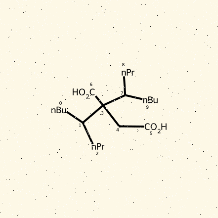 CCCCC(CCC)C(CC(=O)O)(C(=O)O)C(CCC)CCCC